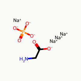 NCC(=O)[O-].O=P([O-])([O-])[O-].[Na+].[Na+].[Na+].[Na+]